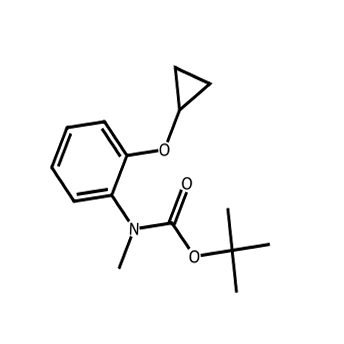 CN(C(=O)OC(C)(C)C)c1ccccc1OC1CC1